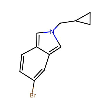 Brc1ccc2cn(CC3CC3)cc2c1